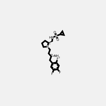 N[C@@H](CCN1CCC[C@H]1CNS(=O)(=O)C1CC1)Cc1cc(F)c(F)cc1F